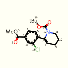 COC(=O)c1ccc(C2=CCCCN2C(=O)OC(C)(C)C)c(Cl)c1